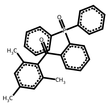 Cc1cc(C)c(C(=O)c2ccccc2P(=O)(c2ccccc2)c2ccccc2)c(C)c1